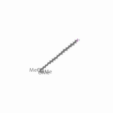 CO[Si](CCCCCCCCCCCCCCCCCCCCCCCCCCCCCCCI)(OC)OC